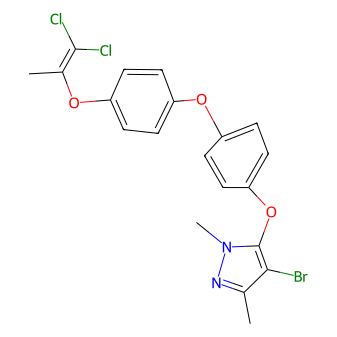 CC(Oc1ccc(Oc2ccc(Oc3c(Br)c(C)nn3C)cc2)cc1)=C(Cl)Cl